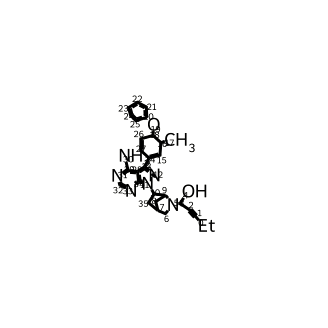 CCC#CC(O)N1CC2CC1C(n1nc(C3=CC(C)C(Oc4ccccc4)C=C3)c3c(N)ncnc31)C2